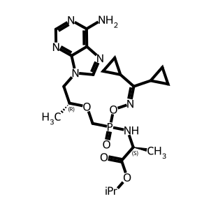 CC(C)OC(=O)[C@H](C)NP(=O)(CO[C@H](C)Cn1cnc2c(N)ncnc21)ON=C(C1CC1)C1CC1